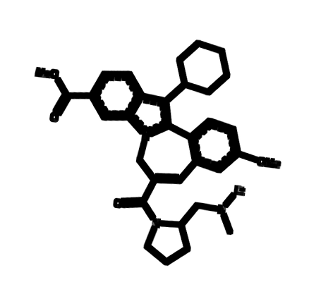 CCN(C)CC1CCCN1C(=O)C1=Cc2cc(OC)ccc2-c2c(C3CCCCC3)c3ccc(C(=O)OC)cc3n2C1